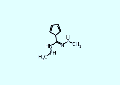 CP/N=C(/NPC)C1C=CC=C1